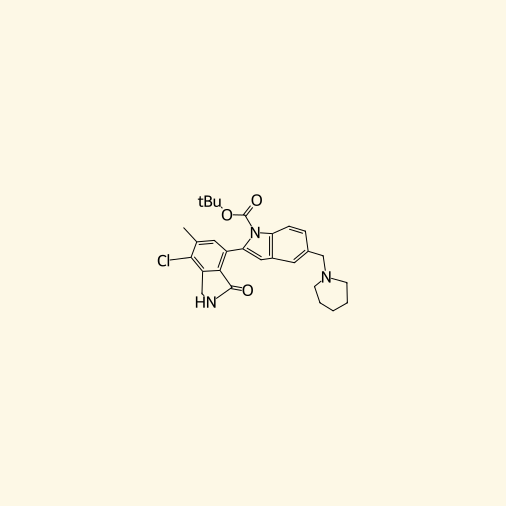 Cc1cc(-c2cc3cc(CN4CCCCC4)ccc3n2C(=O)OC(C)(C)C)c2c(c1Cl)CNC2=O